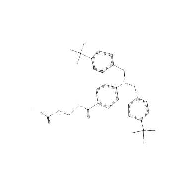 CC(C)(C)c1ccc(CN(Cc2ccc(C(C)(C)C)cc2)c2ccc(C(=O)NCCC(=O)O)cc2)cc1